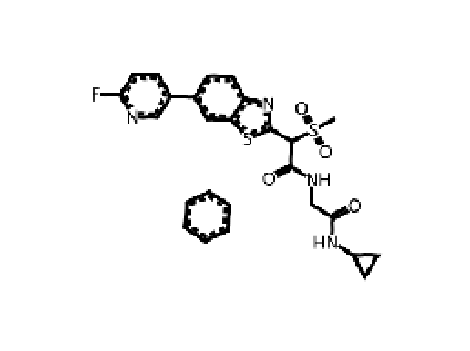 CS(=O)(=O)C(C(=O)NCC(=O)NC1CC1)c1nc2ccc(-c3ccc(F)nc3)cc2s1.c1ccccc1